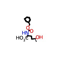 C[C@H](O)CC[C@H](NC(=O)OCc1ccccc1)C(=O)O